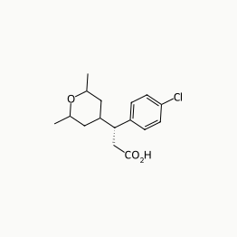 CC1CC([C@@H](CC(=O)O)c2ccc(Cl)cc2)CC(C)O1